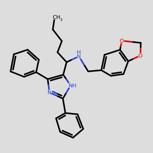 CCCCC(NCc1ccc2c(c1)OCO2)c1[nH]c(-c2ccccc2)nc1-c1ccccc1